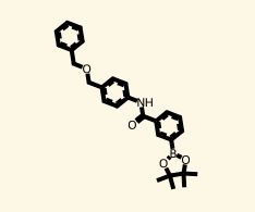 CC1(C)OB(c2cccc(C(=O)Nc3ccc(COCc4ccccc4)cc3)c2)OC1(C)C